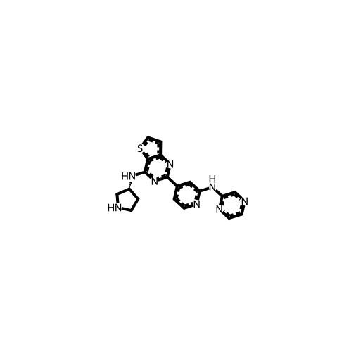 c1cnc(Nc2cc(-c3nc(N[C@@H]4CCNC4)c4sccc4n3)ccn2)cn1